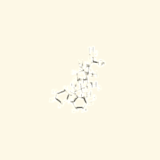 CC(C)(C)[Si](OC1C[C@@H]2[C@H](C1)[C@H]2C(N)=O)(c1ccccc1)c1ccccc1